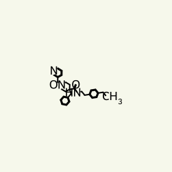 CCc1ccc(CCNC(=O)C2(Cc3ccccc3)CCN(C(=O)c3cccnc3)CC2)cc1